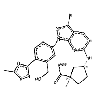 CNC(=O)[C@]1(C)CC[C@@H](Nc2ncc3c(Br)nn(-c4ccc(-c5nnc(C)o5)c(CO)c4)c3n2)C1